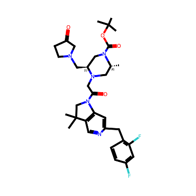 C[C@@H]1CN(CC(=O)N2CC(C)(C)c3cnc(Cc4ccc(F)cc4F)cc32)[C@@H](CN2CCC(=O)C2)CN1C(=O)OC(C)(C)C